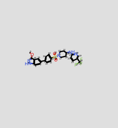 COc1n[nH]c2ccc(-c3ccc(S(=O)(=O)N4CCC(Nc5ccc(C(F)(F)F)cn5)CC4)cc3)cc12